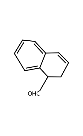 O=CC1CC=Cc2ccccc21